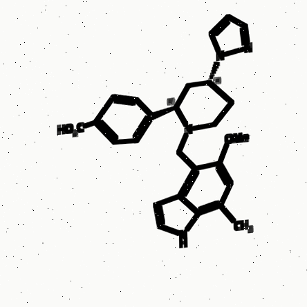 COc1cc(C)c2[nH]ccc2c1CN1CC[C@@H](n2cccn2)C[C@@H]1c1ccc(C(=O)O)cc1